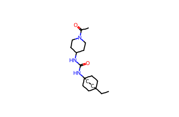 CCC12CCC(NC(=O)NC3CCN(C(C)=O)CC3)(CC1)CC2